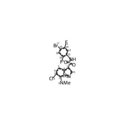 CNc1c(Cl)ccc2c(S(=O)(=O)Nc3cc(F)c(Br)cc3F)cnn12